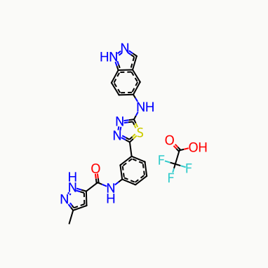 Cc1cc(C(=O)Nc2cccc(-c3nnc(Nc4ccc5[nH]ncc5c4)s3)c2)[nH]n1.O=C(O)C(F)(F)F